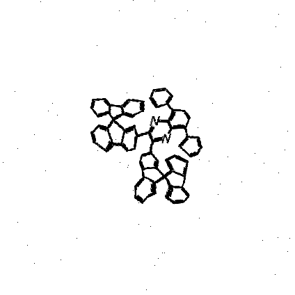 c1ccc(-c2ccc(-c3ccccc3)c3nc(-c4ccc5c(c4)C4(c6ccccc6-c6ccccc64)c4ccccc4-5)c(-c4ccc5c(c4)C4(c6ccccc6-c6ccccc64)c4ccccc4-5)nc23)cc1